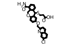 NC(=O)c1cccc2c1COc1ccc(OCc3ccc4ccc(Cl)cc4n3)cc1C2SCCC(=O)O